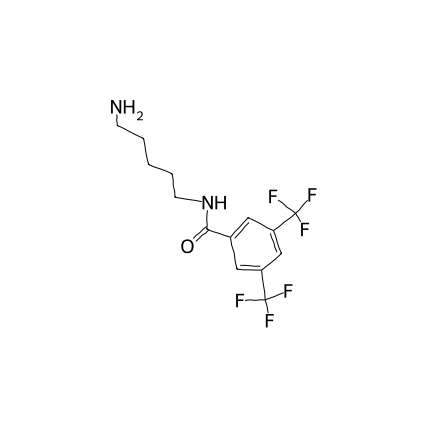 NCCCCCNC(=O)c1cc(C(F)(F)F)cc(C(F)(F)F)c1